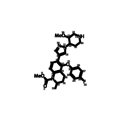 COC(=O)N1c2ccc(-c3cnn(C4CCNCC4OC)c3)c(Oc3ccc(F)cc3)c2CCC1C